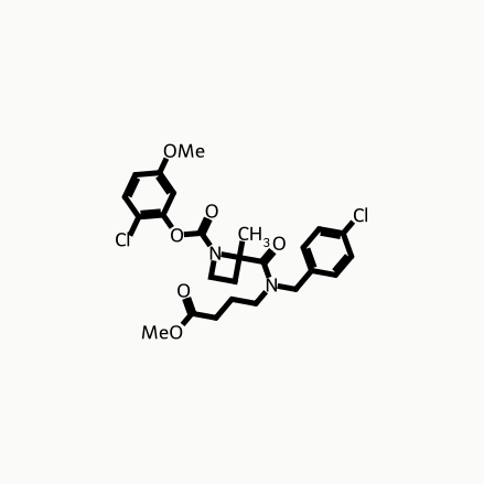 COC(=O)CCCN(Cc1ccc(Cl)cc1)C(=O)C1(C)CCN1C(=O)Oc1cc(OC)ccc1Cl